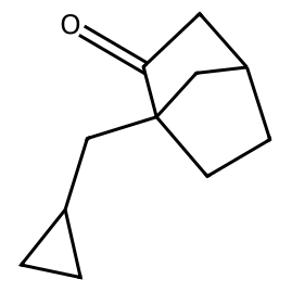 O=C1CC2CCC1(CC1CC1)C2